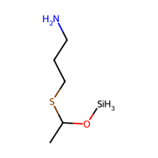 CC(O[SiH3])SCCCN